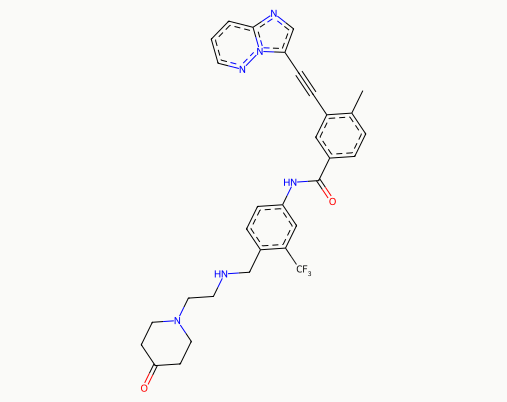 Cc1ccc(C(=O)Nc2ccc(CNCCN3CCC(=O)CC3)c(C(F)(F)F)c2)cc1C#Cc1cnc2cccnn12